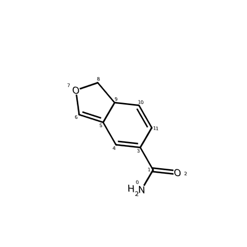 NC(=O)C1=CC2=COCC2C=C1